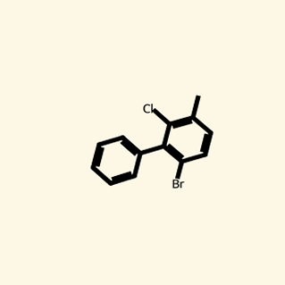 Cc1ccc(Br)c(-c2ccccc2)c1Cl